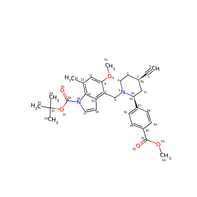 C#C[C@@H]1CCN(Cc2c(OC)cc(C)c3c2ccn3C(=O)OC(C)(C)C)[C@H](c2ccc(C(=O)OC)cc2)C1